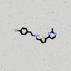 Cc1nccc(-c2ccc(CNCCc3ccc(Cl)cc3)s2)n1